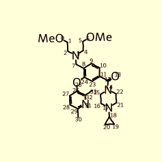 COCCN(CCOC)Cc1ccc(C(=O)N2CCN(C3CC3)CC2)cc1Oc1ccc(C)nc1C